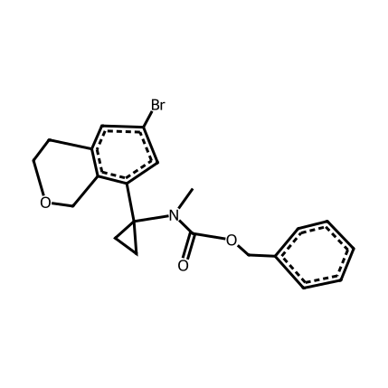 CN(C(=O)OCc1ccccc1)C1(c2cc(Br)cc3c2COCC3)CC1